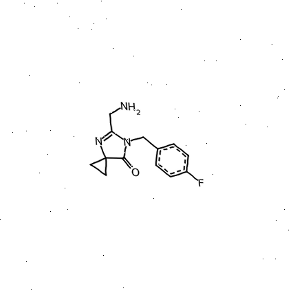 NCC1=NC2(CC2)C(=O)N1Cc1ccc(F)cc1